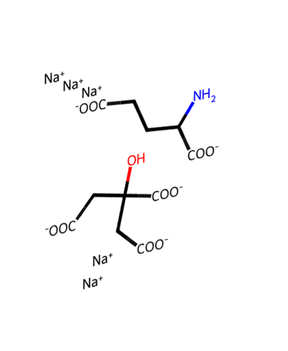 NC(CCC(=O)[O-])C(=O)[O-].O=C([O-])CC(O)(CC(=O)[O-])C(=O)[O-].[Na+].[Na+].[Na+].[Na+].[Na+]